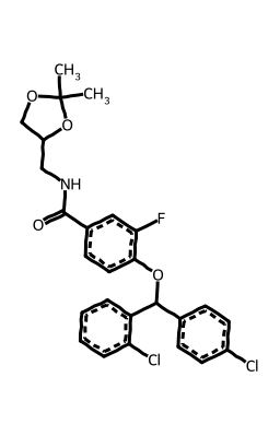 CC1(C)OCC(CNC(=O)c2ccc(OC(c3ccc(Cl)cc3)c3ccccc3Cl)c(F)c2)O1